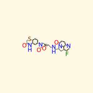 O=C1CSc2ccc(N3C[C@@H](CCNCC4Cc5c(F)cnc6ccc(=O)n4c56)OC3=O)cc2N1